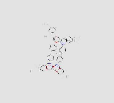 Cc1ccc(CCC(c2ccc(C)cc2)c2ccc3c(c2)C2(c4cc(N(c5ccc(C)cc5)c5ccc(C)cc5)ccc4-3)c3cc(N(c4ccc(C)cc4)c4ccc(C)cc4)ccc3-c3ccc(N(c4ccc(C)cc4)c4ccc(C)cc4)cc32)cc1